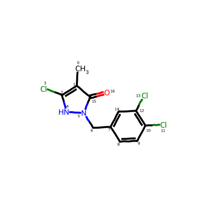 Cc1c(Cl)[nH]n(Cc2ccc(Cl)c(Cl)c2)c1=O